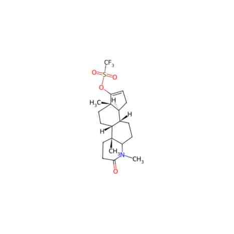 CN1C(=O)CC[C@@]2(C)C1CC[C@@H]1[C@H]2CC[C@]2(C)C(OS(=O)(=O)C(F)(F)F)=CC[C@@H]12